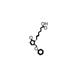 O=C(O)CCCC=CC[C@H]1C(=O)C=C[C@@H]1COc1ccccc1